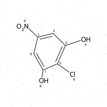 O=[N+]([O-])c1cc(O)c(Cl)c(O)c1